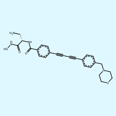 NC[C@H](NC(=O)c1ccc(C#CC#Cc2ccc(CN3CCOCC3)cc2)cc1)C(=O)NO